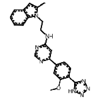 COc1cc(-c2cc(NCCn3c(C)cc4ccccc43)ncn2)ccc1-c1nnn[nH]1